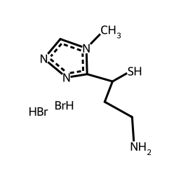 Br.Br.Cn1cnnc1C(S)CCN